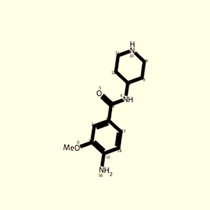 COc1cc(C(=O)NC2CCNCC2)ccc1N